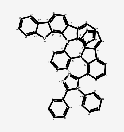 c1ccc(-c2nnc(-c3cccc4c5ccccc5n(-c5ccccc5-n5c6ccccc6c6ccc7c8ccccc8oc7c65)c34)n2-c2ccccc2)cc1